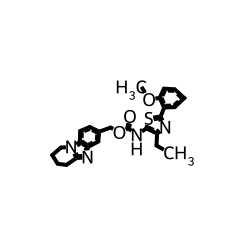 CCc1nc(-c2ccccc2OC)sc1NC(=O)OCc1ccc2c(c1)nc1n2CCCC1